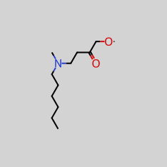 CCCCCCN(C)CCC(=O)C[O]